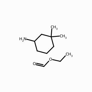 CC1(C)CCCC(N)C1.CCOC=O